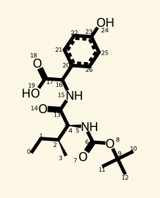 CC[C@H](C)[C@H](NC(=O)OC(C)(C)C)C(=O)NC(C(=O)O)c1ccc(O)cc1